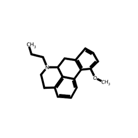 CCCN1CCc2cccc3c2C1Cc1cccc(OC)c1-3